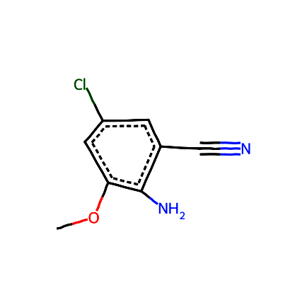 COc1cc(Cl)cc(C#N)c1N